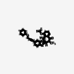 CN1C(=O)c2cccc(OC(F)F)c2[C@H]2C[C@@H]1c1nc3ccc(C#CCOc4ccccc4)cc3n12